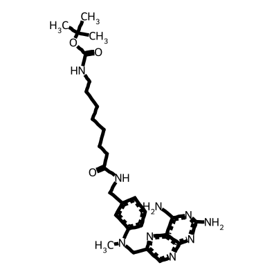 CN(Cc1cnc2nc(N)nc(N)c2n1)c1cccc(CNC(=O)CCCCCCCNC(=O)OC(C)(C)C)c1